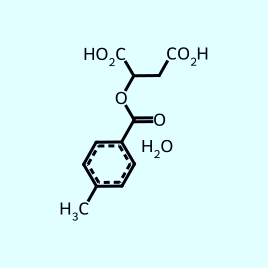 Cc1ccc(C(=O)OC(CC(=O)O)C(=O)O)cc1.O